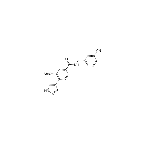 COc1cc(C(=O)NCc2cccc(C#N)c2)ccc1-c1cn[nH]c1